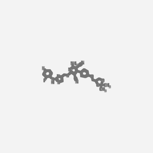 CC1(C)OCC(COc2ccc(-c3c(C#N)c(N)nc(SCc4csc(Nc5ccc(F)cc5F)n4)c3C#N)cc2)O1